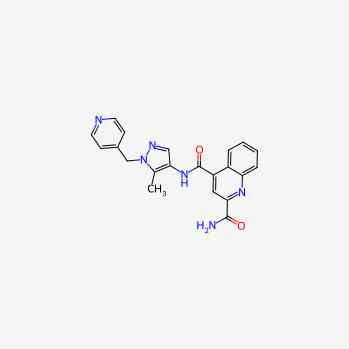 Cc1c(NC(=O)c2cc(C(N)=O)nc3ccccc23)cnn1Cc1ccncc1